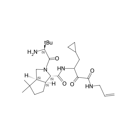 C=CCNC(=O)C(=O)C(CC1CC1)NC(=O)[C@@H]1[C@H]2CCC(C)(C)[C@H]2CN1C(=O)[C@@H](N)C(C)(C)C